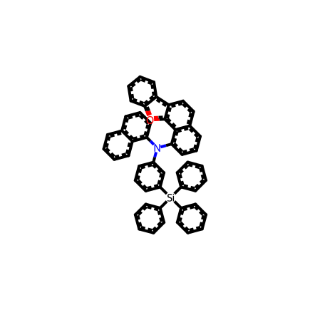 c1ccc([Si](c2ccccc2)(c2ccccc2)c2cccc(N(c3cccc4ccccc34)c3cccc4ccc5c6ccccc6oc5c34)c2)cc1